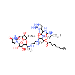 CO[C@H]1[C@H](OC(C(NCCCNC(=O)C(NC(=O)C(NC(=O)NC(C(=O)O)C(C)C)C2CCNC(=N)N2)C(OC(=O)CCCCCCC(C)C)C(C)C)C(=O)O)C2O[C@@H](n3ccc(=O)[nH]c3=O)C(O)C2O)O[C@H](CN)[C@H]1O